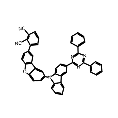 N#Cc1cccc(-c2ccc3oc4ccc(-n5c6ccccc6c6cc(-c7nc(-c8ccccc8)nc(-c8ccccc8)n7)ccc65)cc4c3c2)c1C#N